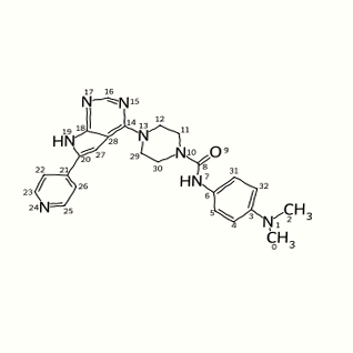 CN(C)c1ccc(NC(=O)N2CCN(c3ncnc4[nH]c(-c5ccncc5)cc34)CC2)cc1